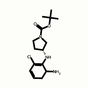 CC(C)(C)OC(=O)N1CC[C@@H](NC2=C(Cl)C=CCC2N)C1